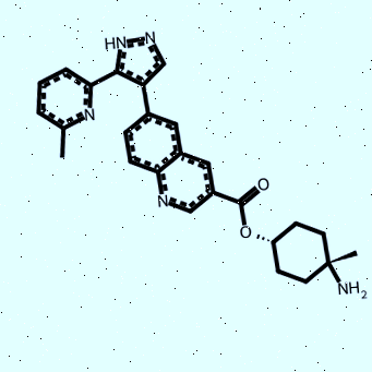 Cc1cccc(-c2[nH]ncc2-c2ccc3ncc(C(=O)O[C@H]4CC[C@@](C)(N)CC4)cc3c2)n1